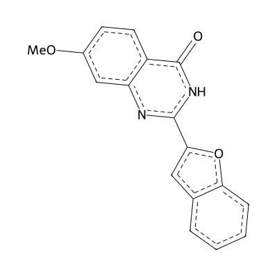 COc1ccc2c(=O)[nH]c(-c3cc4ccccc4o3)nc2c1